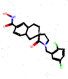 O=C(NO)C1=CC2CC[C@]3(CCN(Cc4cc(Cl)ccc4Cl)C3=O)CC2C=C1